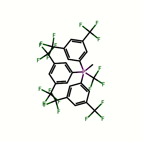 CP(c1cc(C(F)(F)F)cc(C(F)(F)F)c1)(c1cc(C(F)(F)F)cc(C(F)(F)F)c1)(c1cc(C(F)(F)F)cc(C(F)(F)F)c1)C(F)(F)F